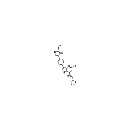 Clc1cc(NC[C@H]2CCCO2)c2ncc(-c3ccc(-c4cnc(C5CC5)[nH]4)cc3)n2n1